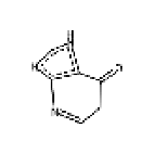 O=C1CC=Nc2nc[nH]c21